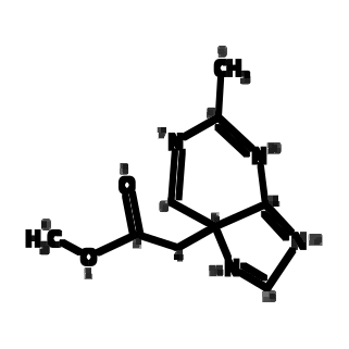 COC(=O)CC12C=NC(C)=NC1=NC=N2